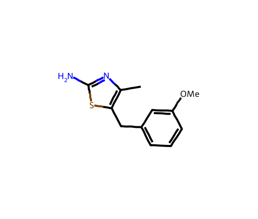 COc1cccc(Cc2sc(N)nc2C)c1